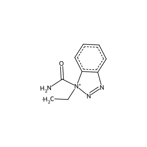 [CH2]C[N+]1(C(N)=O)N=Nc2ccccc21